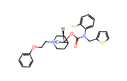 O=C(O[C@H]1C[N+]2(CCOc3ccccc3)CCC1CC2)N(Cc1cccs1)c1ccccc1F